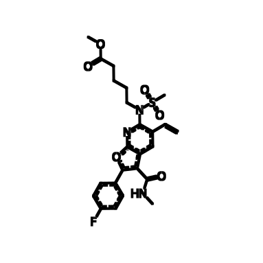 C=Cc1cc2c(C(=O)NC)c(-c3ccc(F)cc3)oc2nc1N(CCCCC(=O)OC)S(C)(=O)=O